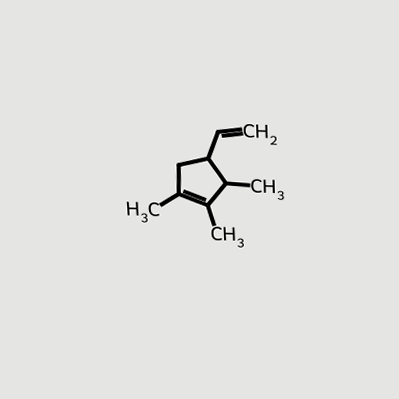 C=CC1CC(C)=C(C)C1C